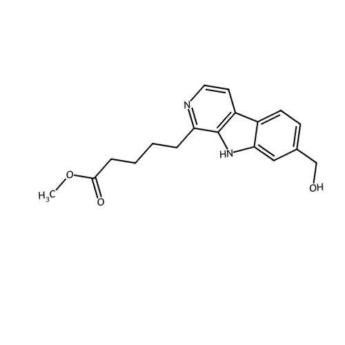 COC(=O)CCCCc1nccc2c1[nH]c1cc(CO)ccc12